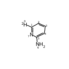 [2H]c1cccc(N)n1